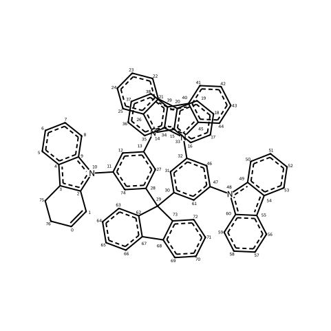 C1=Cc2c(c3ccccc3n2-c2cc(-n3c4ccccc4c4ccccc43)cc(C3(c4cc(-n5c6ccccc6c6ccccc65)cc(-n5c6ccccc6c6ccccc65)c4)c4ccccc4-c4ccccc43)c2)CC1